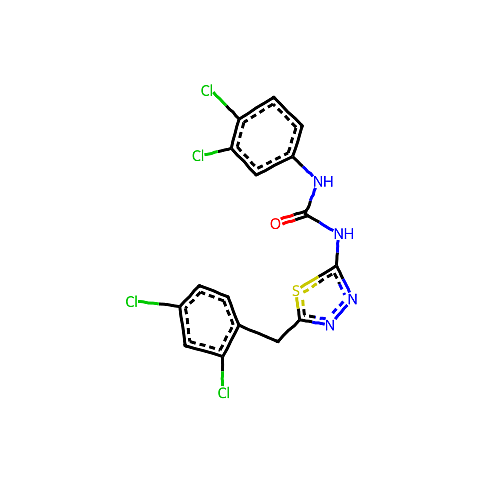 O=C(Nc1ccc(Cl)c(Cl)c1)Nc1nnc(Cc2ccc(Cl)cc2Cl)s1